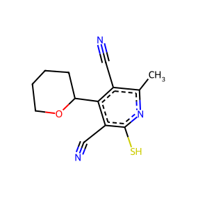 Cc1nc(S)c(C#N)c(C2CCCCO2)c1C#N